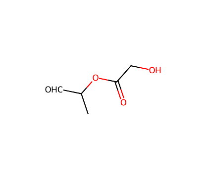 CC(C=O)OC(=O)CO